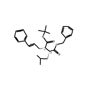 CC(C)C[C@@H](C(=O)OCc1ccccc1)[C@H](C/C=C/c1ccccc1)C(=O)OC(C)(C)C